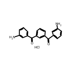 Cl.Nc1cccc(C(=O)c2cccc(C(=O)c3cccc(N)c3)c2)c1